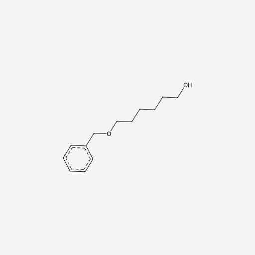 OCCCCCCOCc1ccccc1